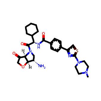 CN1CCN(c2nc(-c3ccc(C(=O)N[C@H](C(=O)N4C[C@H](N)[C@H]5OCC(=O)[C@H]54)C4CCCCC4)cc3)cs2)CC1